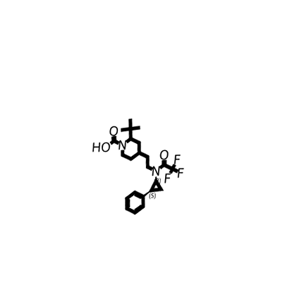 CC(C)(C)C1CC(CCN(C(=O)C(F)(F)F)[C@@H]2C[C@H]2c2ccccc2)CCN1C(=O)O